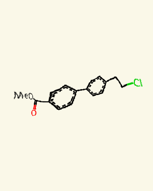 COC(=O)c1ccc(-c2ccc(CCCl)cc2)cc1